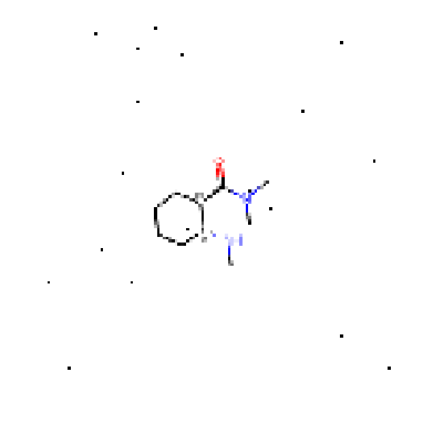 CN[C@@H]1CCCC[C@H]1C(=O)N(C)C